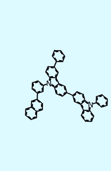 c1ccc(-c2ccc3c(c2)c2cc(-c4ccc5c(c4)c4ccccc4n5-c4ccccc4)ccc2n3-c2cccc(-c3ccc4ccccc4c3)c2)cc1